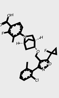 Cc1cccc(Cl)c1-c1noc(C2(F)CC2)c1CO[C@@H]1C[C@@H]2C[C@H]1CN2c1ccc(C(=O)O)c(F)c1C